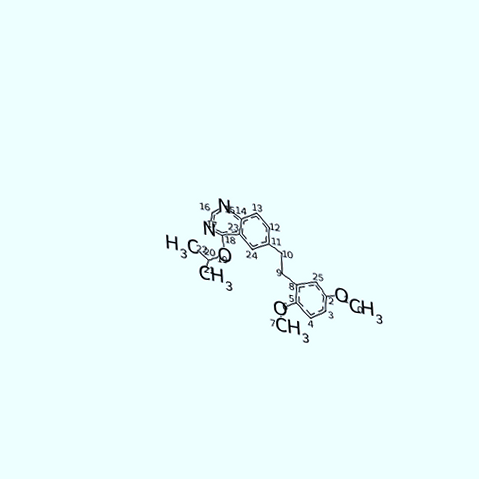 COc1ccc(OC)c(CCc2ccc3ncnc(OC(C)C)c3c2)c1